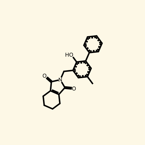 Cc1cc(CN2C(=O)C3=C(CCCC3)C2=O)c(O)c(-c2ccccc2)c1